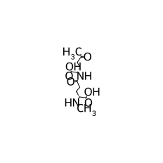 CN[C@@H](CCC(=O)N[C@@H](CCC(C)=O)C(=O)O)C(=O)O